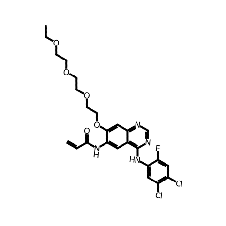 C=CC(=O)Nc1cc2c(Nc3cc(Cl)c(Cl)cc3F)ncnc2cc1OCCOCCOCCOCC